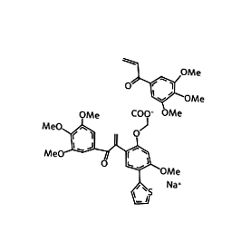 C=C(C(=O)c1cc(OC)c(OC)c(OC)c1)c1cc(-c2cccs2)c(OC)cc1OCC(=O)[O-].C=CC(=O)c1cc(OC)c(OC)c(OC)c1.[Na+]